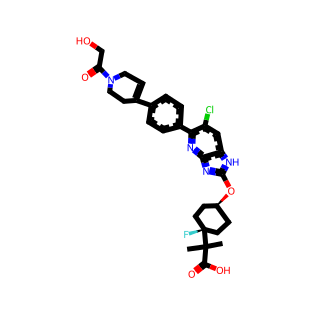 CC(C)(C(=O)O)[C@]1(F)CC[C@@H](Oc2nc3nc(-c4ccc(C5=CCN(C(=O)CO)CC5)cc4)c(Cl)cc3[nH]2)CC1